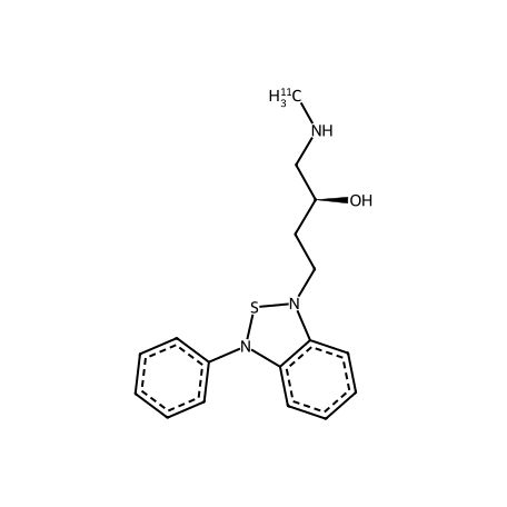 [11CH3]NC[C@@H](O)CCN1SN(c2ccccc2)c2ccccc21